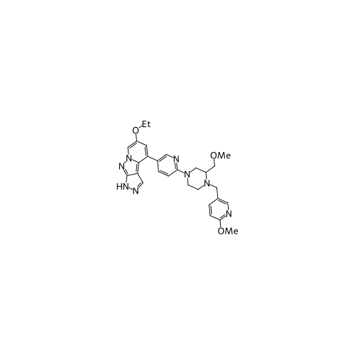 CCOc1cc(-c2ccc(N3CCN(Cc4ccc(OC)nc4)C(COC)C3)nc2)c2c3cn[nH]c3nn2c1